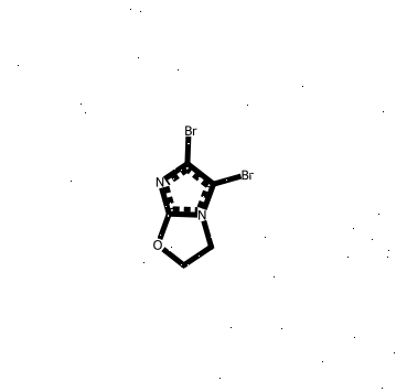 Brc1nc2n(c1Br)CCO2